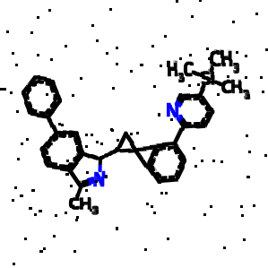 CC1=NC(C2CC23c2cccc(-c4ccc([Si](C)(C)C)cn4)c23)c2cc(-c3ccccc3)ccc21